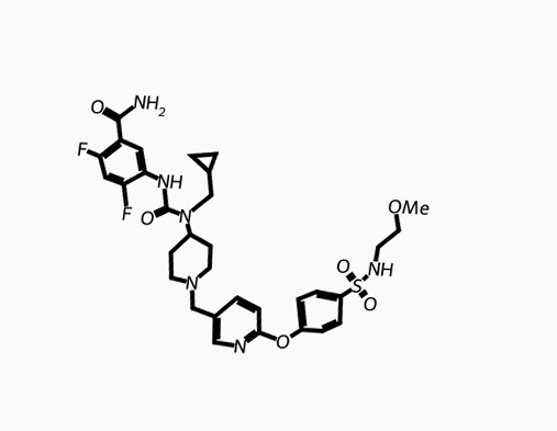 COCCNS(=O)(=O)c1ccc(Oc2ccc(CN3CCC(N(CC4CC4)C(=O)Nc4cc(C(N)=O)c(F)cc4F)CC3)cn2)cc1